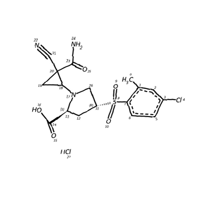 Cc1cc(Cl)ccc1S(=O)(=O)[C@@H]1C[C@@H](C(=O)O)N(C2CC2(C#N)C(N)=O)C1.Cl